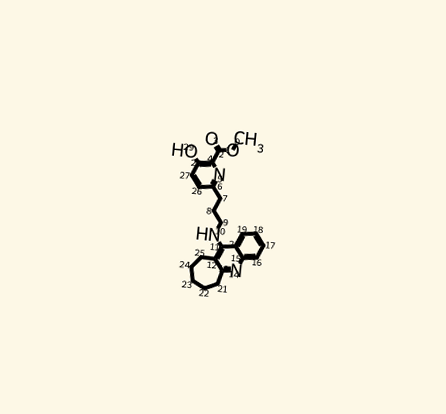 COC(=O)c1nc(CCCNc2c3c(nc4ccccc24)CCCCC3)ccc1O